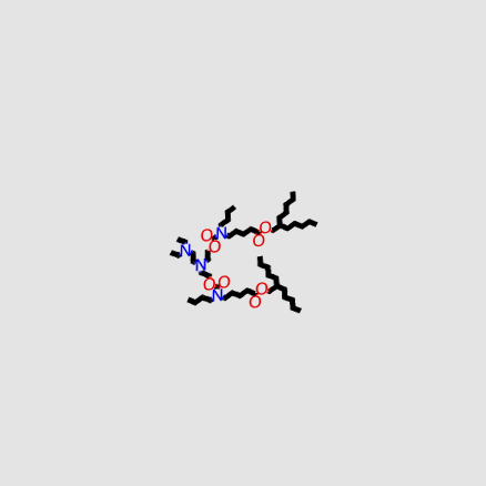 CCCCCC(CCCCC)COC(=O)CCCCN(CCCC)C(=O)OCCN(CCOC(=O)N(CCCC)CCCCC(=O)OCC(CCCCC)CCCCC)CCN(CC)CC